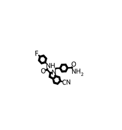 N#Cc1ccc2cc(C(=O)Nc3ccc(F)cc3)n(Cc3ccc(C(N)=O)cc3)c2c1